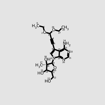 CCOC(C#Cc1cn(C2OC(CO)C(O)[C@@]2(C)O)c2ncnc(N)c12)OCC